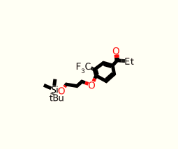 [CH2]CC(=O)c1ccc(OCCCO[Si](C)(C)C(C)(C)C)c(C(F)(F)F)c1